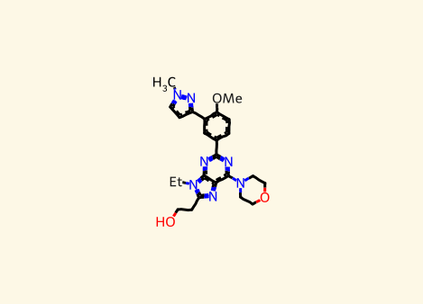 CCn1c(CCO)nc2c(N3CCOCC3)nc(-c3ccc(OC)c(-c4ccn(C)n4)c3)nc21